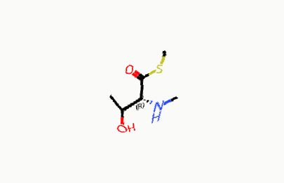 CN[C@@H](C(=O)SC)C(C)O